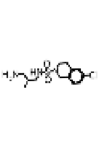 C[C@@H](CN)CNS(=O)(=O)N1CCc2cc(Cl)ccc2C1